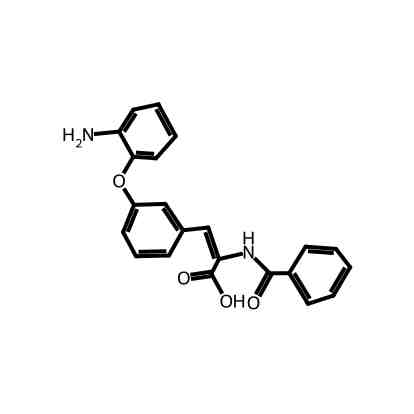 Nc1ccccc1Oc1cccc(/C=C(/NC(=O)c2ccccc2)C(=O)O)c1